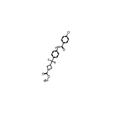 CC(C)(C)OC(=O)N1CC(C(F)(F)c2ccc(NC(=O)c3ccc(Cl)cc3)cc2)C1